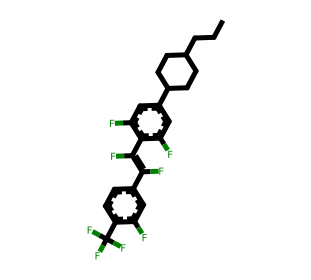 CCCC1CCC(c2cc(F)c(/C(F)=C(\F)c3ccc(C(F)(F)F)c(F)c3)c(F)c2)CC1